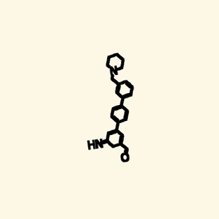 N=C1C=C(c2ccc(-c3cccc(CN4CCCCC4)c3)cc2)C=C(C=O)C1